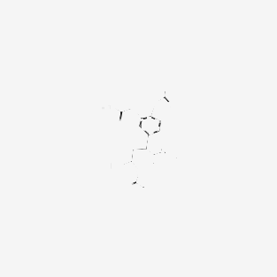 CCCC(=O)Oc1ccc(C(CC(C)OC(=O)CC)[C@H](N)C(=O)O)cc1OC(=O)CCC